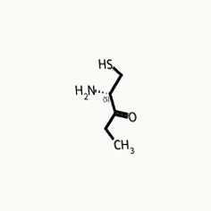 CCC(=O)[C@H](N)CS